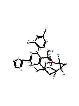 COC(=O)C1=C(CN2[C@H]3CC(CC(=O)O)C[C@@H]2C2(F)CC32F)NC(c2nccs2)=N[C@H]1c1ccc(F)cc1Cl